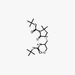 CC(C)(C)OC(=O)NC(CO)C[C@H]1CC(C)(C)N(C(=O)OC(C)(C)C)C1=O